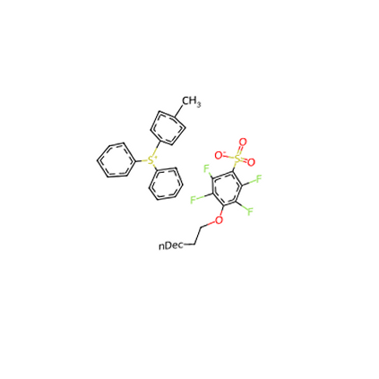 CCCCCCCCCCCCOc1c(F)c(F)c(S(=O)(=O)[O-])c(F)c1F.Cc1ccc([S+](c2ccccc2)c2ccccc2)cc1